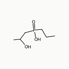 CCCP(=O)(O)CC(C)O